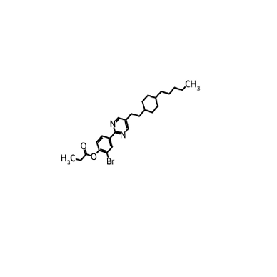 CCCCCC1CCC(CCc2cnc(-c3ccc(OC(=O)CC)c(Br)c3)nc2)CC1